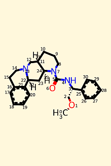 COC[C@H](NC(=O)N1CCC[C@@H]2CN3CCc4ccccc4[C@@H]3C[C@@H]21)c1ccccc1